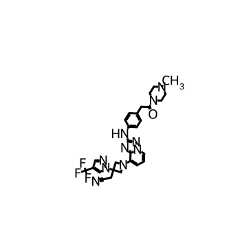 CN1CCN(C(=O)Cc2ccc(Nc3nc4c(N5CC(CC#N)(n6cc(C(F)(F)F)cn6)C5)cccn4n3)cc2)CC1